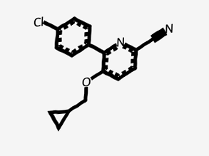 N#Cc1ccc(OCC2CC2)c(-c2ccc(Cl)cc2)n1